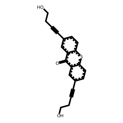 O=c1c2cc(C#CCCO)ccc2sc2ccc(C#CCCO)cc12